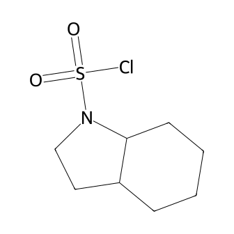 O=S(=O)(Cl)N1CCC2CCCCC21